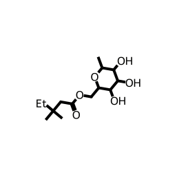 CCC(C)(C)CC(=O)OCC1OC(C)C(O)C(O)C1O